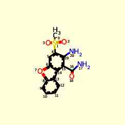 CS(=O)(=O)c1cc2oc3ccccc3c2c(C(N)=O)c1N